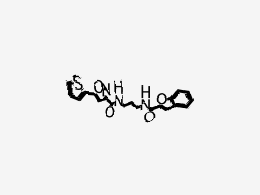 O=C(NCCCNC(=O)c1cc2ccccc2o1)c1cc(-c2cccs2)on1